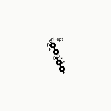 CCCCCCCOc1ccc(-c2ccc(OC(=O)c3ccc(-c4ccc(C)cc4)c(F)c3F)cc2)c(F)c1F